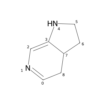 C1=NC=C2NCCC2C1